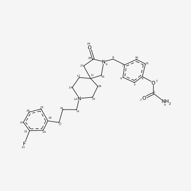 NC(=O)Oc1ccc(CN2CC3(CCN(CC[CH]c4cccc(F)c4)CC3)CC2=O)cc1